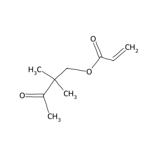 C=CC(=O)OCC(C)(C)C(C)=O